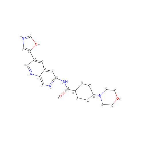 O=C(Nc1cc2cc(-c3cnco3)cnc2cn1)C1CCC(N2CCOCC2)CC1